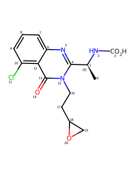 C[C@H](NC(=O)O)c1nc2cccc(Cl)c2c(=O)n1CCC1CO1